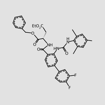 CCOC(=O)C[C@H](NC(=O)c1ccc(-c2ccc(F)c(F)c2)cc1NC(=O)Nc1c(C)cc(C)cc1C)C(=O)OCc1ccccc1